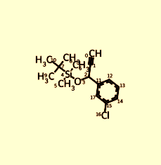 C#CC(O[Si](C)(C)C(C)(C)C)c1cccc(Cl)c1